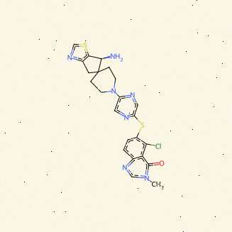 Cn1cnc2ccc(Sc3cnc(N4CCC5(CC4)Cc4ncsc4[C@H]5N)cn3)c(Cl)c2c1=O